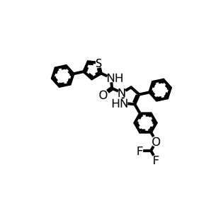 O=C(Nc1cc(-c2ccccc2)cs1)N1CC(c2ccccc2)=C(c2ccc(OC(F)F)cc2)N1